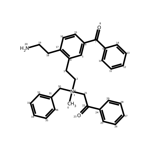 C[N+](CCc1cc(C(=O)c2ccccc2)ccc1CCN)(CC(=O)c1ccccc1)Cc1ccccc1